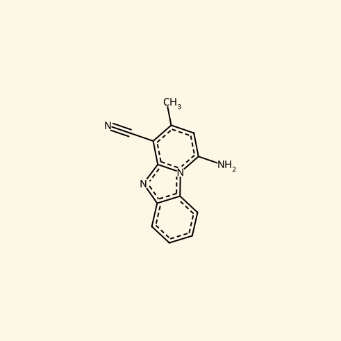 Cc1cc(N)n2c(nc3ccccc32)c1C#N